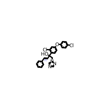 OC(/C=C/c1ccccc1)(Cn1cncn1)c1ccc(Oc2ccc(Cl)cc2)cc1Cl